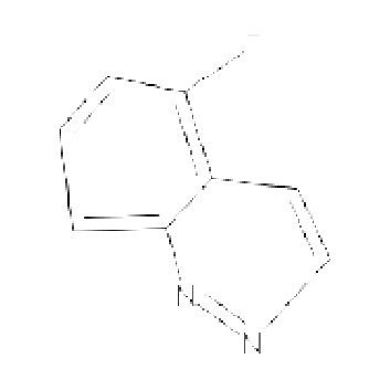 Fc1cccc2nnccc12